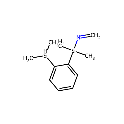 C=N[Si](C)(C)c1ccccc1[SiH](C)C